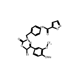 CCC1OC(=O)N(Cc2ccc(NC(=O)c3ccno3)cc2)N=C1c1ccc(OC)c(OC(F)(F)F)c1